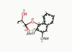 COc1cc2ccccc2c(OC(=O)C(C)O)c1OC